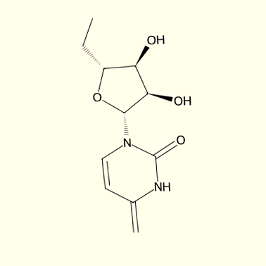 C=C1C=CN([C@@H]2O[C@H](CC)[C@@H](O)[C@H]2O)C(=O)N1